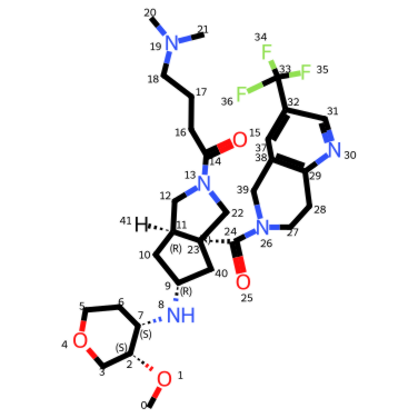 CO[C@@H]1COCC[C@@H]1N[C@@H]1C[C@H]2CN(C(=O)CCCN(C)C)C[C@@]2(C(=O)N2CCc3ncc(C(F)(F)F)cc3C2)C1